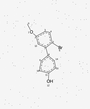 COc1ccc(Br)c(-c2ccc(O)cc2)c1